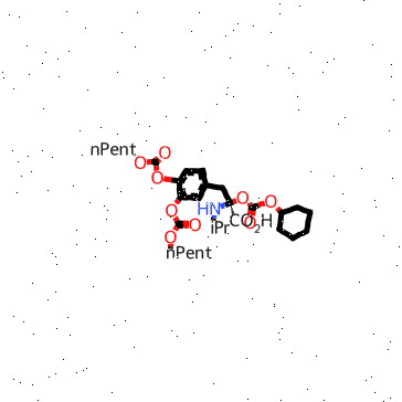 CCCCCOC(=O)Oc1ccc(C[C@](NC(C)C)(OC(=O)OC2CCCCC2)C(=O)O)cc1OC(=O)OCCCCC